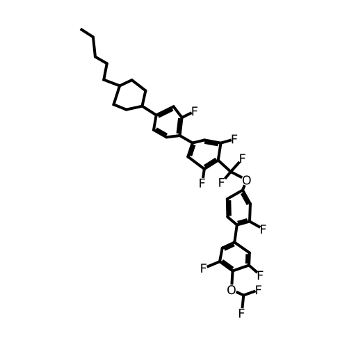 CCCCCC1CCC(c2ccc(-c3cc(F)c(C(F)(F)Oc4ccc(-c5cc(F)c(OC(F)F)c(F)c5)c(F)c4)c(F)c3)c(F)c2)CC1